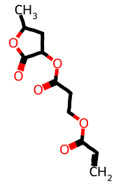 C=CC(=O)OCCC(=O)OC1CC(C)OC1=O